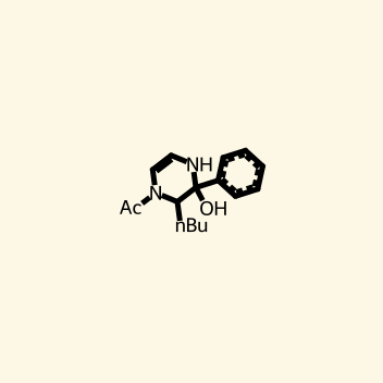 CCCCC1N(C(C)=O)C=CNC1(O)c1ccccc1